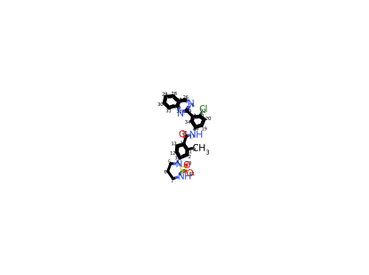 Cc1cc(N2CCCNS2(=O)=O)ccc1C(=O)Nc1ccc(Cl)c(-c2ncc3ccccc3n2)c1